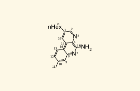 CCCCCCc1cnc2c(N)nc3cc(C)ccc3c2c1